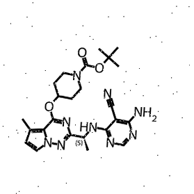 Cc1ccn2nc([C@H](C)Nc3ncnc(N)c3C#N)nc(OC3CCN(C(=O)OC(C)(C)C)CC3)c12